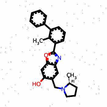 Cc1c(-c2ccccc2)cccc1-c1nc2cc(CN3CCC[C@H]3C)c(O)cc2o1